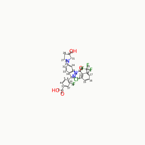 O=C(O)c1ccc(-c2nn(C(=O)c3c(Cl)cccc3C(F)(F)F)c3cc(N4CCC(O)C4)ccc23)c(F)c1